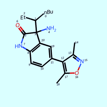 CCCCC(CC)C1(N)C(=O)Nc2ccc(-c3c(C)noc3C)cc21